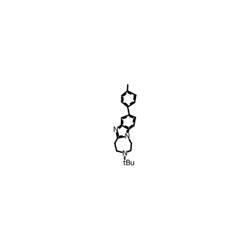 Cc1ccc(-c2ccc3c(c2)nc2n3CCN(C(C)(C)C)CC2)cc1